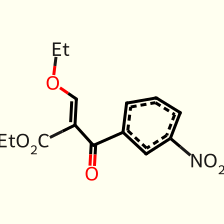 CCOC=C(C(=O)OCC)C(=O)c1cccc([N+](=O)[O-])c1